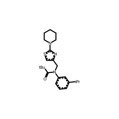 CC(C)c1cccc(N(Cc2csc(N3CCCCC3)n2)C(=O)C(C)(C)C)c1